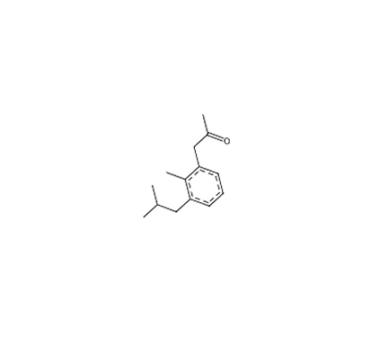 CC(=O)Cc1cccc(CC(C)C)c1C